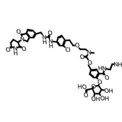 CN(CCOCCc1ccc(NC(=O)NCc2ccc3c(c2)CN(C2CCC(=O)NC2=O)C3=O)cc1Cl)C(=O)OCc1ccc(OC2OC(C(=O)O)C(O)C(O)C2O)c(C(=O)NCCN)c1